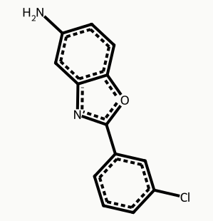 Nc1ccc2oc(-c3cccc(Cl)c3)nc2c1